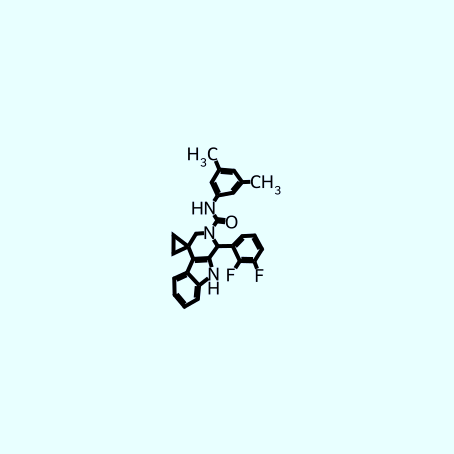 Cc1cc(C)cc(NC(=O)N2CC3(CC3)c3c([nH]c4ccccc34)C2c2cccc(F)c2F)c1